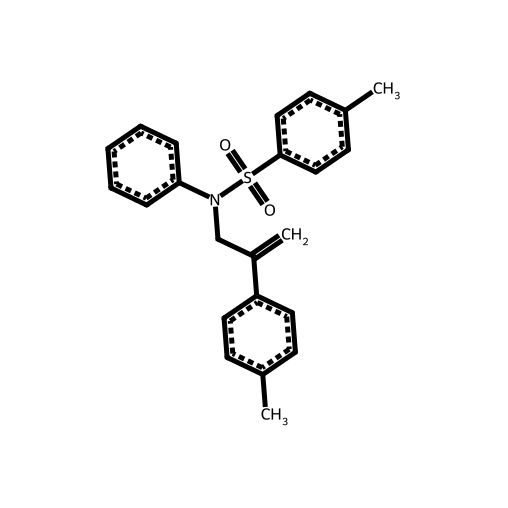 C=C(CN(c1ccccc1)S(=O)(=O)c1ccc(C)cc1)c1ccc(C)cc1